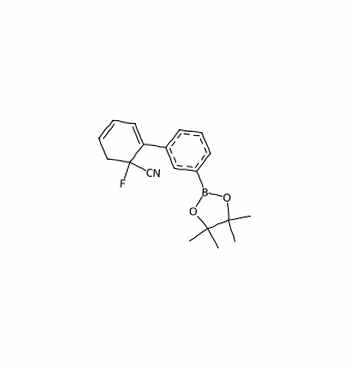 CC1(C)OB(c2cccc(C3=CC=CCC3(F)C#N)c2)OC1(C)C